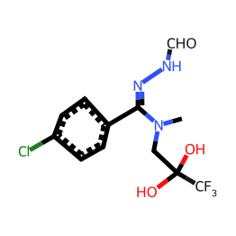 CN(CC(O)(O)C(F)(F)F)/C(=N\NC=O)c1ccc(Cl)cc1